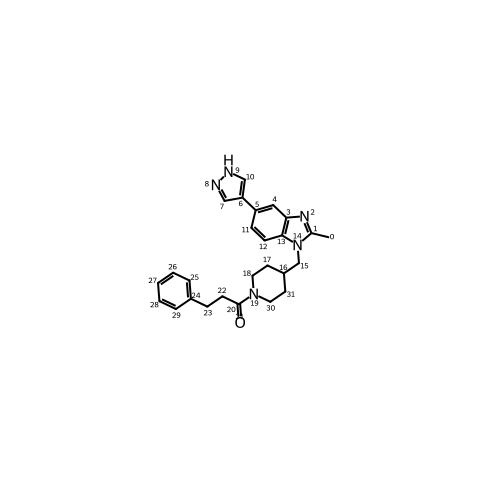 Cc1nc2cc(-c3cn[nH]c3)ccc2n1CC1CCN(C(=O)CCc2ccccc2)CC1